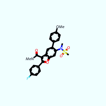 CNC(=O)c1c(-c2ccc(F)cc2)oc2cc(N(C)S(C)(=O)=O)c(-c3ccc(OC)cc3)cc12